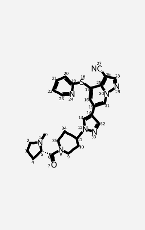 CN1CCC[C@H]1C(=O)N1CCC(n2cc(-c3cc(Sc4ccccn4)c4c(C#N)cnn4c3)cn2)CC1